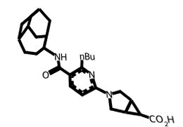 CCCCc1nc(N2CC3C(C2)C3C(=O)O)ccc1C(=O)NC1CCC2CC3CC2CC1C3